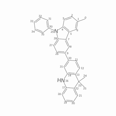 Cc1ccc2c(c1)c1cc(-c3ccc4c(c3)Nc3ccccc3C4(C)C)ccc1n2-c1ccccc1